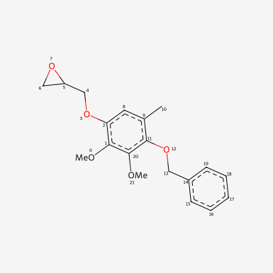 COc1c(OCC2CO2)cc(C)c(OCc2ccccc2)c1OC